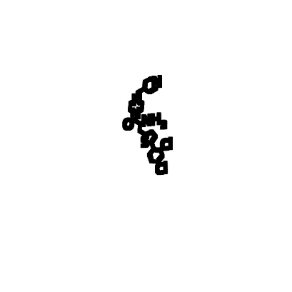 NC(Cc1ccc(-c2ccc(Cl)cc2Cl)s1)C(=O)N1CCN(Cc2ccncc2)CC1